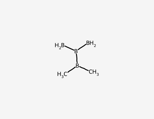 BB(B)B(C)C